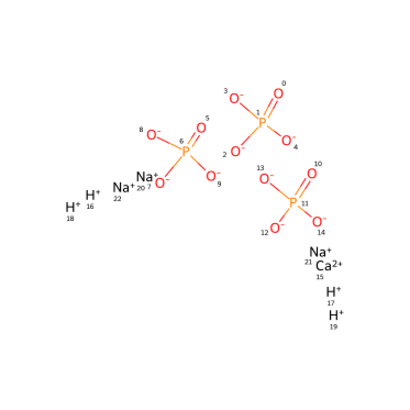 O=P([O-])([O-])[O-].O=P([O-])([O-])[O-].O=P([O-])([O-])[O-].[Ca+2].[H+].[H+].[H+].[H+].[Na+].[Na+].[Na+]